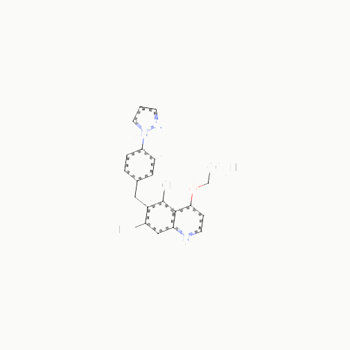 Cc1cc2nccc(OCC(=O)O)c2c(C)c1Cc1ccc(-n2cccn2)cc1